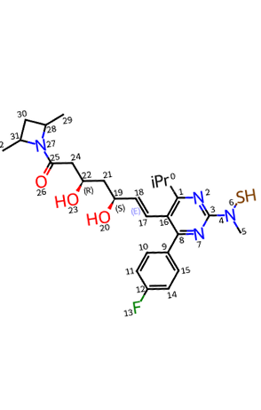 CC(C)c1nc(N(C)S)nc(-c2ccc(F)cc2)c1/C=C/[C@@H](O)C[C@@H](O)CC(=O)N1C(C)CC1C